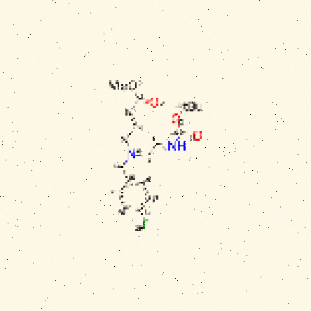 COC(=O)C=CCN(CCNC(=O)OC(C)(C)C)Cc1ccc(F)cc1